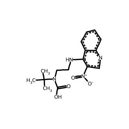 CC(C)(C)N(CCNc1c([N+](=O)[O-])cnc2ccccc12)C(=O)O